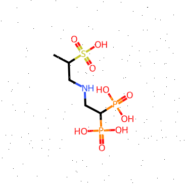 CC(CNCC(P(=O)(O)O)P(=O)(O)O)S(=O)(=O)O